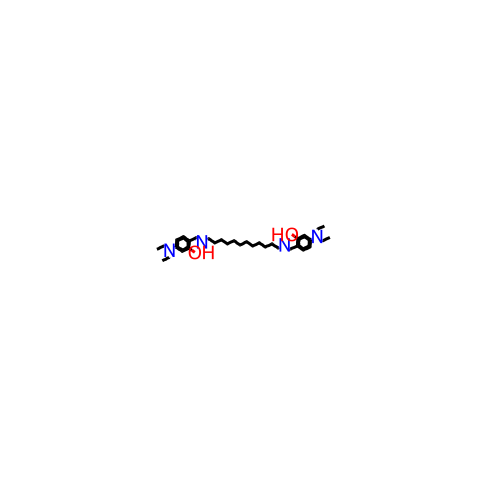 CCN(CC)c1ccc(C=NCCCCCCCCCCCCN=Cc2ccc(N(CC)CC)cc2O)c(O)c1